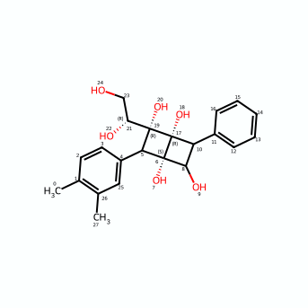 Cc1ccc(C2[C@]3(O)C(O)C(c4ccccc4)[C@]3(O)[C@]2(O)[C@H](O)CO)cc1C